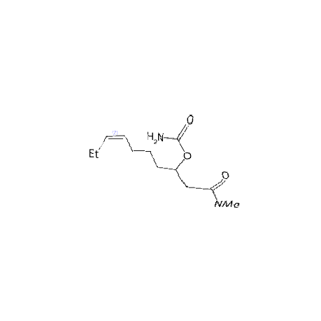 CC/C=C\CCCC(CC(=O)NC)OC(N)=O